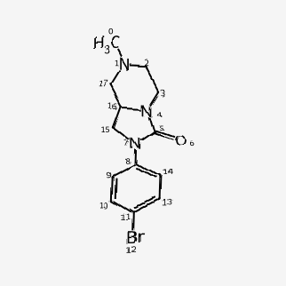 CN1CCN2C(=O)N(c3ccc(Br)cc3)CC2C1